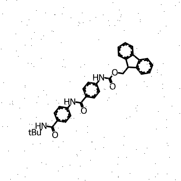 CC(C)(C)NC(=O)c1ccc(NC(=O)c2ccc(NC(=O)OCC3c4ccccc4-c4ccccc43)cc2)cc1